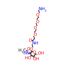 CC(=O)N[C@H]1[C@H](OCCNC(=O)CCOCCOCCOCCOCCN)O[C@H](CO)[C@@H](O)[C@@H]1O